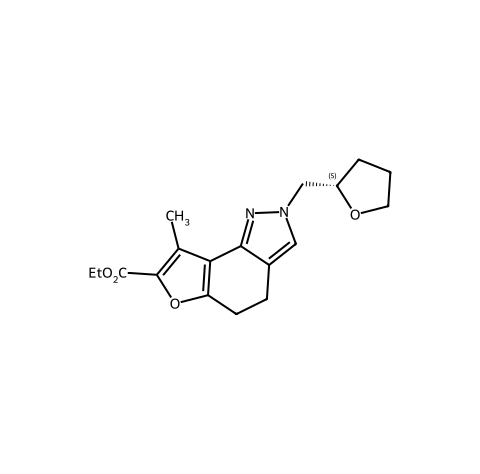 CCOC(=O)c1oc2c(c1C)-c1nn(C[C@@H]3CCCO3)cc1CC2